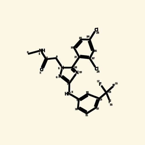 CNC(=O)Cn1nc(Nc2cccc(C(F)(F)F)c2)nc1-c1ccc(Cl)cc1Cl